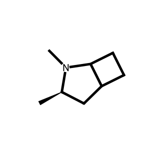 C[C@@H]1CC2CCC2N1C